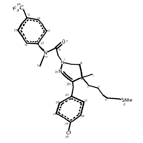 CSCCCC1(C)CN(C(=O)N(C)c2ccc(C(F)(F)F)cc2)N=C1c1ccc(Cl)cc1